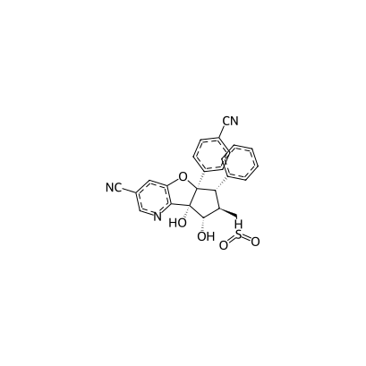 N#Cc1ccc([C@@]23Oc4cc(C#N)cnc4[C@]2(O)[C@@H](O)[C@H](C[SH](=O)=O)[C@H]3c2ccccc2)cc1